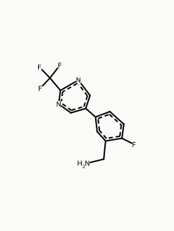 NCc1cc(-c2cnc(C(F)(F)F)nc2)ccc1F